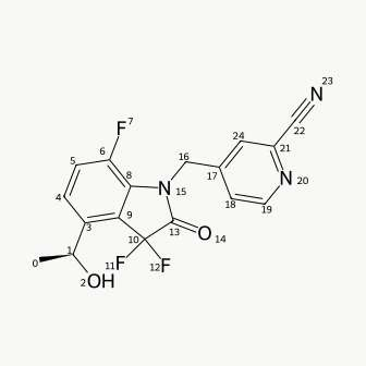 C[C@H](O)c1ccc(F)c2c1C(F)(F)C(=O)N2Cc1ccnc(C#N)c1